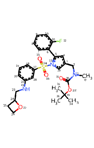 CN(Cc1cc(-c2ccccc2F)n(S(=O)(=O)c2cccc(NCC3CCO3)c2)c1)C(=O)OC(C)(C)C